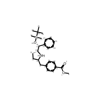 COC(=O)c1ccc(CC2CC[C@H]([C@H](O[Si](C)(C)C(C)(C)C)c3ccccc3)N2)cc1